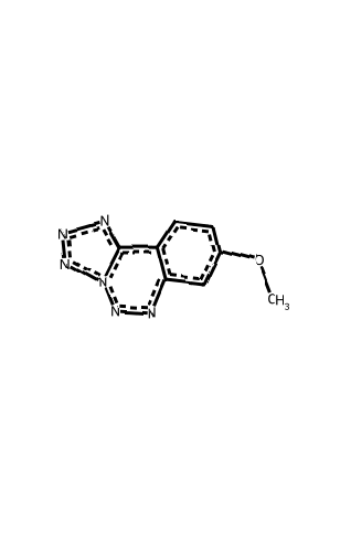 COc1ccc2c(c1)nnn1nnnc21